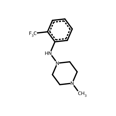 CN1CCN(Nc2ccccc2C(F)(F)F)CC1